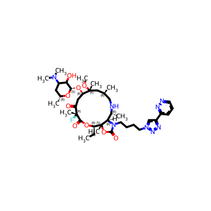 CC[C@H]1OC(=O)[C@](C)(F)C(=O)C[C@@H](O[C@@H]2O[C@H](C)CC(N(C)C)C2O)[C@](C)(OC)C[C@@H](C)CN[C@H](C)[C@H]2N(CCCCn3cc(-c4cccnn4)nn3)C(=O)O[C@]12C